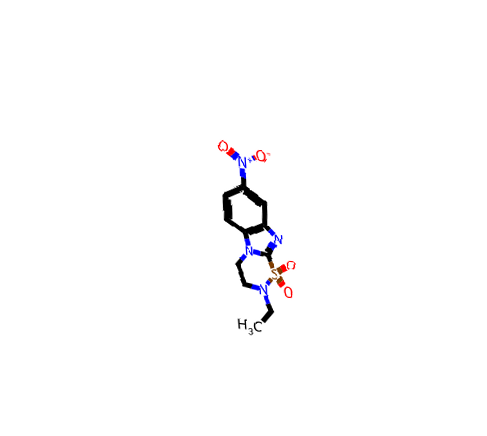 CCN1CCn2c(nc3cc([N+](=O)[O-])ccc32)S1(=O)=O